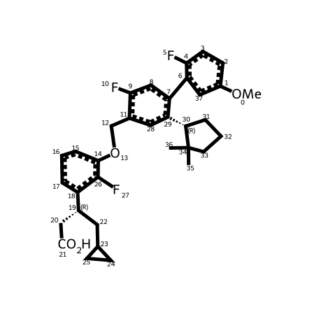 COc1ccc(F)c(-c2cc(F)c(COc3cccc([C@@H](CC(=O)O)CC4CC4)c3F)cc2[C@@H]2CCCC2(C)C)c1